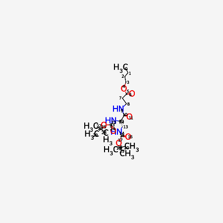 CCCCOC(=O)CCNC(=O)[C@H](CNC(=O)OC(C)(C)C)NC(=O)OC(C)(C)C